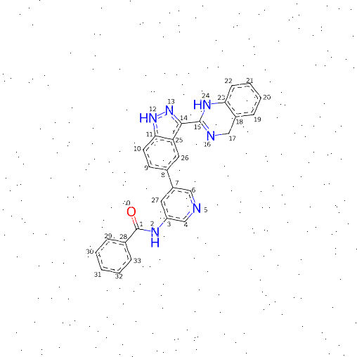 O=C(Nc1cncc(-c2ccc3[nH]nc(C4=NCc5ccccc5N4)c3c2)c1)c1ccccc1